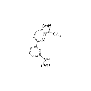 Cc1nnc2ccc(-c3cccc(NC=O)c3)nn12